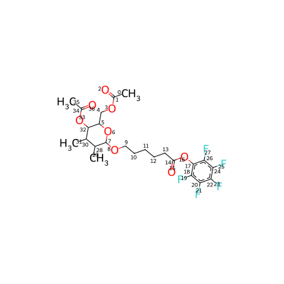 CC(=O)OCC1OC(OCCCCCC(=O)Oc2c(F)c(F)c(F)c(F)c2F)C(C)C(C)C1OC(C)=O